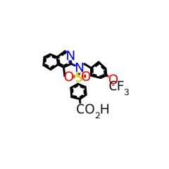 Cc1c(N(Cc2ccc(OC(F)(F)F)cc2)S(=O)(=O)c2ccc(C(=O)O)cc2)ncc2ccccc12